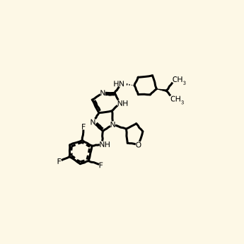 CC(C)[C@H]1CC[C@H](NC2=NC=C3N=C(Nc4c(F)cc(F)cc4F)N(C4CCOC4)C3N2)CC1